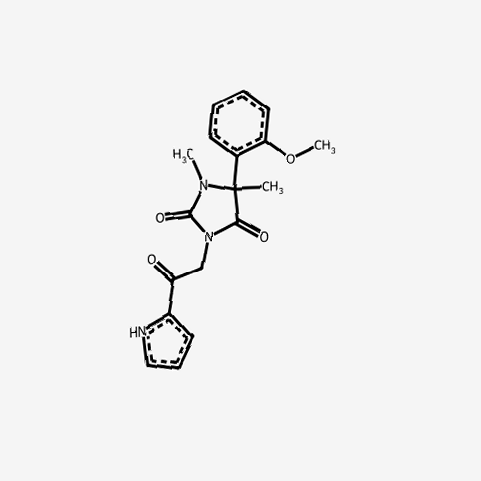 COc1ccccc1C1(C)C(=O)N(CC(=O)c2ccc[nH]2)C(=O)N1C